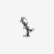 CCOC(=O)C1CCN(c2ncc(C(=O)Nc3nc(-c4cc(Cl)cs4)c(N4CC5CC4CN5C(=O)O)s3)cc2Cl)CC1